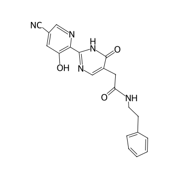 N#Cc1cnc(-c2ncc(CC(=O)NCCc3ccccc3)c(=O)[nH]2)c(O)c1